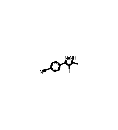 Cc1[nH]nc(-c2ccc(C#N)cc2)c1I